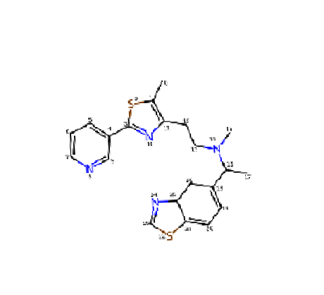 Cc1sc(-c2cccnc2)nc1CCN(C)C(C)C1=CC=C2SC=NC2C1